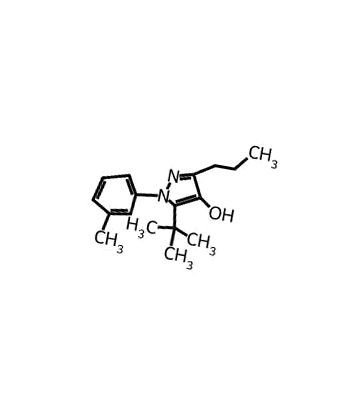 CCCc1nn(-c2cccc(C)c2)c(C(C)(C)C)c1O